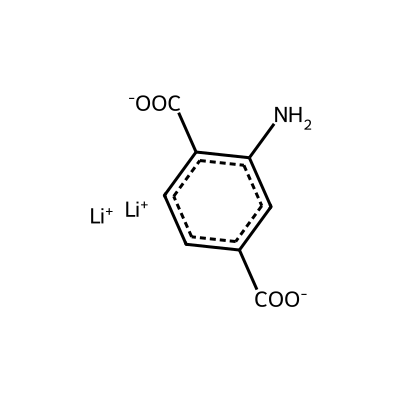 Nc1cc(C(=O)[O-])ccc1C(=O)[O-].[Li+].[Li+]